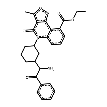 CCOC(=O)c1cccc2c1c1noc(C)c1c(=O)n2C1CCCC(C(N)C(=O)c2ccccc2)C1